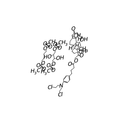 CS(=O)(=O)OCC(O)C(O)COS(C)(=O)=O.CS(=O)(=O)OCCCCOS(C)(=O)=O.C[C@]12C=CC(=O)C=C1CC[C@@H]1[C@@H]2[C@@H](O)C[C@@]2(C)[C@H]1CC[C@]2(O)C(=O)COC(=O)CCCc1ccc(N(CCCl)CCCl)cc1